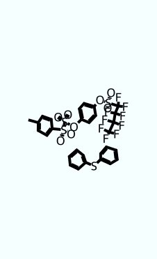 Cc1ccc(S(=O)(=O)S(=O)(=O)Oc2ccc(OS(=O)(=O)C(F)(F)C(F)(F)C(F)(F)C(F)(F)F)cc2)cc1.c1ccc(Sc2ccccc2)cc1